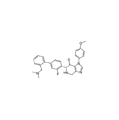 COc1ccc(-n2cnc3c2C(=O)C(c2ccc(-c4ccccc4CN(C)C)cc2F)NC3)cc1